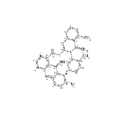 C=C1c2c(C)cccc2C=C(CNc2ncnc(N)c2C(=N)c2cccc(CC)c2)N1c1ccccc1C